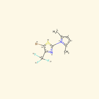 Cc1ccc(C)n1-c1nc(C(F)(F)F)c(Br)s1